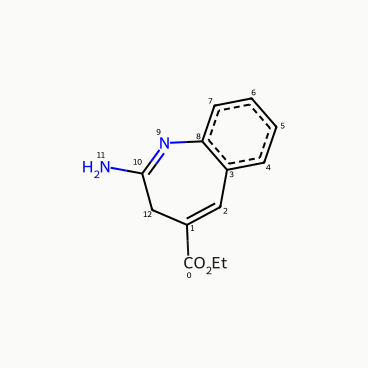 CCOC(=O)C1=Cc2ccccc2N=C(N)C1